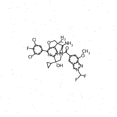 COc1cc(C(=O)NC[C@](O)(c2cc3c(c(-c4cc(Cl)c(F)c(Cl)c4)n2)OC[C@]3(C)C(N)=O)C2CC2)cc2cn(C(F)F)nc12